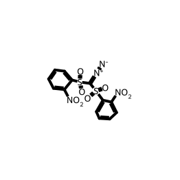 [N-]=[N+]=C(S(=O)(=O)c1ccccc1[N+](=O)[O-])S(=O)(=O)c1ccccc1[N+](=O)[O-]